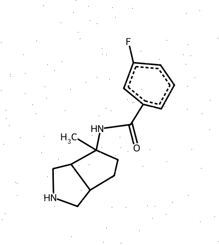 CC1(NC(=O)c2cccc(F)c2)CCC2CNCC21